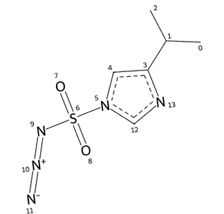 CC(C)c1cn(S(=O)(=O)N=[N+]=[N-])cn1